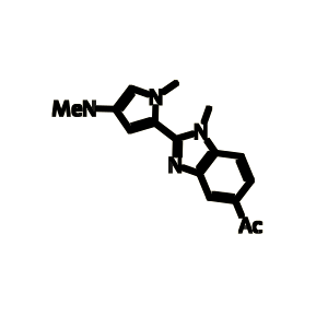 CNc1cc(-c2nc3cc(C(C)=O)ccc3n2C)n(C)c1